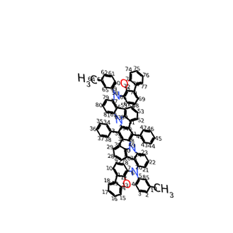 Cc1cccc(N(c2cccc3c2oc2ccccc23)c2cccc3c2c2cccc4c5c(-c6ccccc6)c6c(c(-c7ccccc7)c5n3c24)c2cccc3c4c(N(c5cccc(C)c5)c5cccc7c5oc5ccccc57)cccc4n6c32)c1